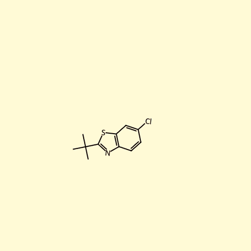 CC(C)(C)c1nc2ccc(Cl)cc2s1